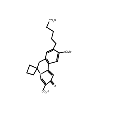 COc1cc2c(cc1CCCCC(=O)O)CC1(CCC1)n1cc(C(=O)O)c(=O)cc1-2